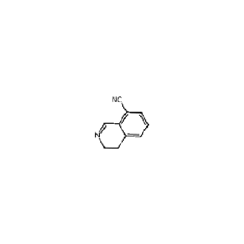 N#Cc1cccc2c1C=NCC2